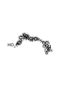 O=C1CCC(N2C(=O)c3cccc(OCCCCCN4CCN(c5ccc(Nc6ncc7ccc(-c8cccc(CN9CCN(C(=O)O)CC9)c8)n7n6)cn5)CC4)c3C2=O)C(=O)N1